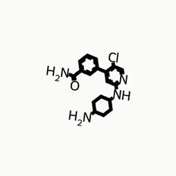 NC(=O)c1cccc(-c2cc(NC3CCC(N)CC3)ncc2Cl)c1